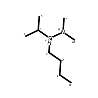 CCCC[SiH](C(C)C)N(C)C